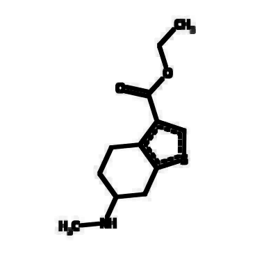 CCOC(=O)c1csc2c1CCC(NC)C2